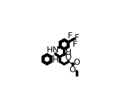 CCOC(=O)[C@H]1CC[C@@H]2[C@H](O1)c1cc(C(F)(F)F)ccc1N[C@H]2c1ccccc1